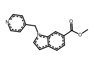 COC(=O)c1ccc2ccn(Cc3ccncc3)c2c1